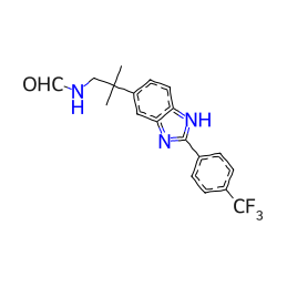 CC(C)(CNC=O)c1ccc2[nH]c(-c3ccc(C(F)(F)F)cc3)nc2c1